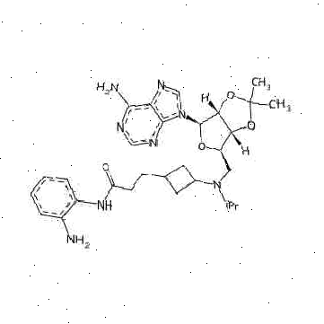 CC(C)N(C[C@H]1O[C@@H](n2cnc3c(N)ncnc32)[C@@H]2OC(C)(C)O[C@@H]21)C1CC(CCC(=O)Nc2ccccc2N)C1